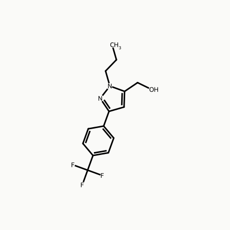 CCCn1nc(-c2ccc(C(F)(F)F)cc2)cc1CO